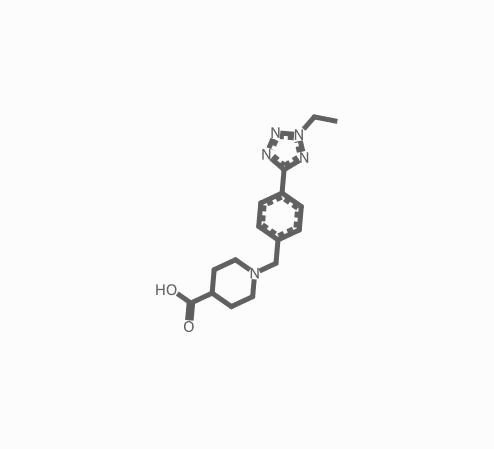 CCn1nnc(-c2ccc(CN3CCC(C(=O)O)CC3)cc2)n1